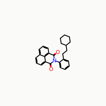 O=C1c2cccc3cccc(c23)C(=O)N1c1ccccc1CCC1CCCCC1